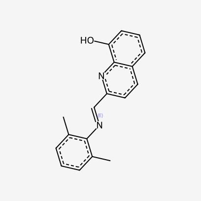 Cc1cccc(C)c1/N=C/c1ccc2cccc(O)c2n1